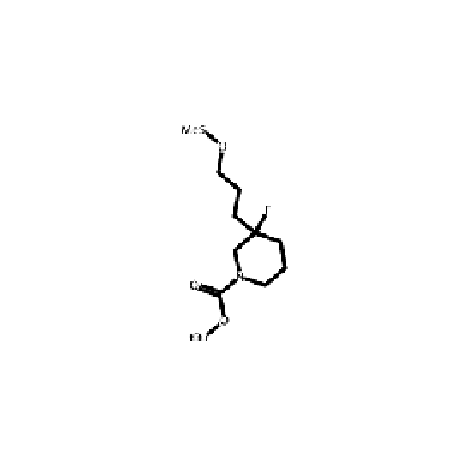 CSOCCCC1(F)CCCN(C(=O)OC(C)(C)C)C1